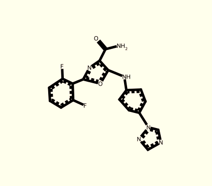 NC(=O)c1nc(-c2c(F)cccc2F)oc1Nc1ccc(-n2cncn2)cc1